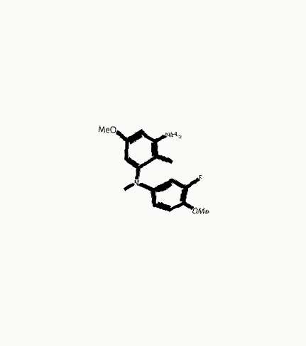 COc1cc(N)c(C)c(N(C)c2ccc(OC)c(F)c2)c1